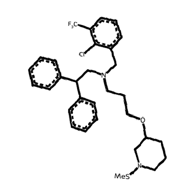 CSN1CCCC(OCCCN(Cc2cccc(C(F)(F)F)c2Cl)CC(c2ccccc2)c2ccccc2)C1